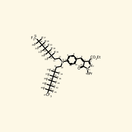 CCCN1N=C(C(=O)OCC)C(=Cc2ccc(N(CCC(F)(F)C(F)(F)C(F)(F)C(F)(F)C(F)(F)C(F)(F)F)CCC(F)(F)C(F)(F)C(F)(F)C(F)(F)C(F)(F)C(F)(F)F)cc2)C1=O